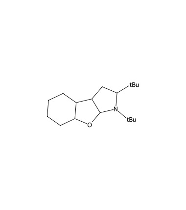 CC(C)(C)C1CC2C3CCCCC3OC2N1C(C)(C)C